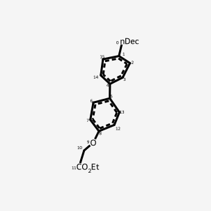 CCCCCCCCCCc1ccc(-c2ccc(OCC(=O)OCC)cc2)cc1